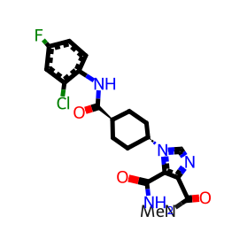 CNC(=O)c1ncn([C@H]2CC[C@H](C(=O)Nc3ccc(F)cc3Cl)CC2)c1C(N)=O